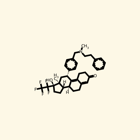 CN(CCc1ccccc1)Cc1ccc([C@H]2C[C@@]3(C)[C@@H](CC[C@]3(O)C(F)(F)C(F)(F)F)[C@@H]3CCC4=CC(=O)CCC4=C32)cc1